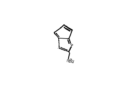 CCCCC1=[C]C2=CC=CC2=P1